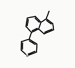 Cc1cccc2c(-c3ccncc3)cccc12